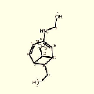 CCC1C2C=CC(NCO)=CC1C2C